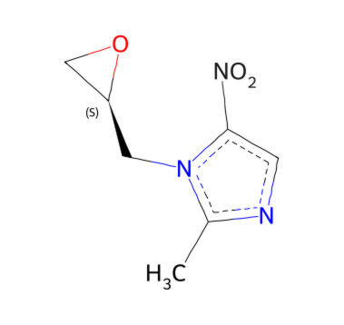 Cc1ncc([N+](=O)[O-])n1C[C@H]1CO1